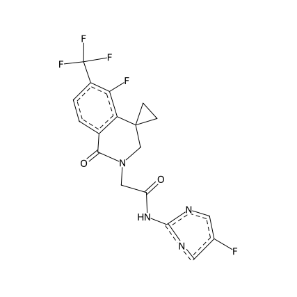 O=C(CN1CC2(CC2)c2c(ccc(C(F)(F)F)c2F)C1=O)Nc1ncc(F)cn1